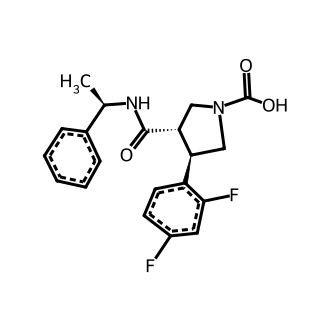 C[C@@H](NC(=O)[C@@H]1CN(C(=O)O)C[C@H]1c1ccc(F)cc1F)c1ccccc1